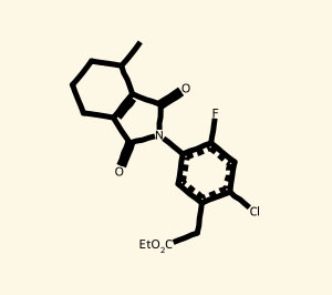 CCOC(=O)Cc1cc(N2C(=O)C3=C(C2=O)C(C)CCC3)c(F)cc1Cl